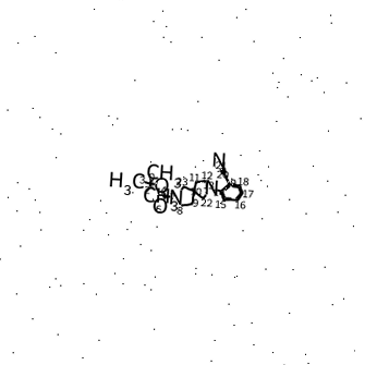 CC(C)(C)OC(=O)N1CCC2(CCN(c3ccccc3C#N)C2)C1